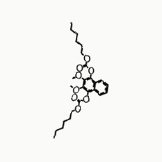 CCCCCCOC(=O)Oc1c(OC)c(OC)c(OC(=O)OCCCCCC)c2ccccc12